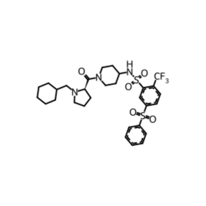 O=C([C@H]1CCCN1CC1CCCCC1)N1CCC(NS(=O)(=O)c2cc(S(=O)(=O)c3ccccc3)ccc2C(F)(F)F)CC1